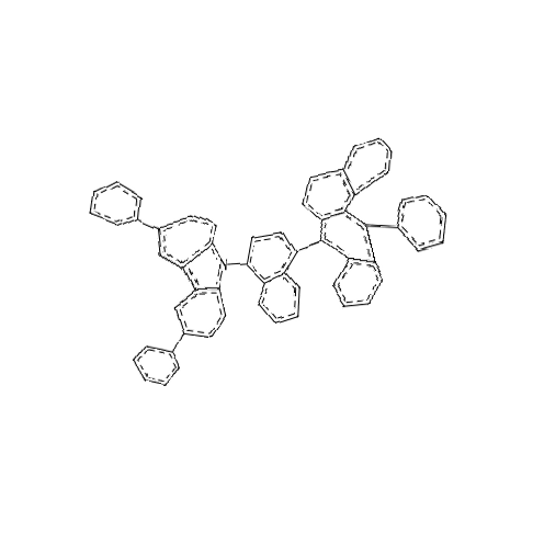 c1ccc(-c2ccc3c(c2)c2cc(-c4ccccc4)ccc2n3-c2ccc(-c3c4ccccc4c(-c4ccccc4)c4c3ccc3ccccc34)c3ccccc23)cc1